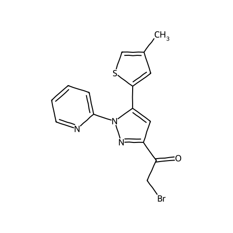 Cc1csc(-c2cc(C(=O)CBr)nn2-c2ccccn2)c1